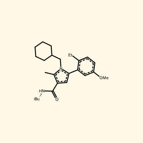 CCc1ccc(OC)cc1-c1cc(C(=O)N[C@@H](C)CC)c(C)n1CC1CCCCC1